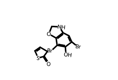 O=C1CC=CS1.Oc1c(Br)cc2c(c1Br)OCN2